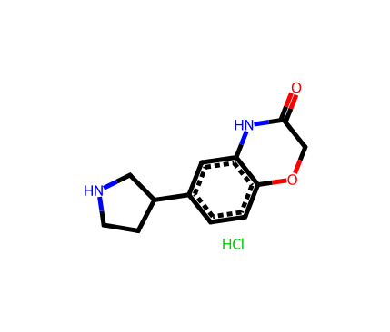 Cl.O=C1COc2ccc(C3CCNC3)cc2N1